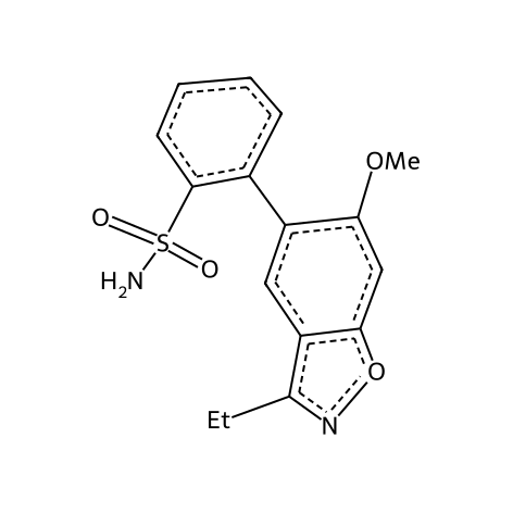 CCc1noc2cc(OC)c(-c3ccccc3S(N)(=O)=O)cc12